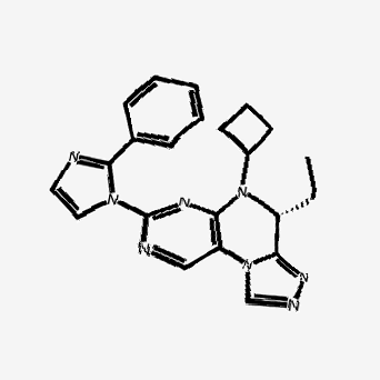 CC[C@@H]1c2nncn2-c2cnc(-n3ccnc3-c3ccccc3)nc2N1C1CCC1